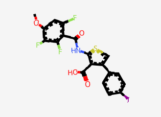 COc1cc(F)c(C(=O)Nc2scc(-c3ccc(I)cc3)c2C(=O)O)c(F)c1F